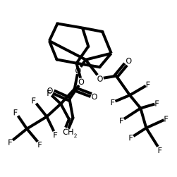 C=CC(=O)OC12CC3CC(C1)C(OC(=O)C(F)(F)C(F)(F)C(F)(F)F)(OC(=O)C(F)(F)C(F)(F)C(F)(F)F)C(C3)C2